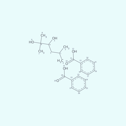 CC(C)CC(O)C(C)(C)O.O=C(O)c1ccccc1.O=C(O)c1ccccc1